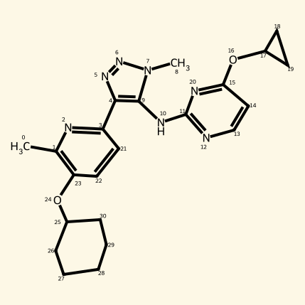 Cc1nc(-c2nnn(C)c2Nc2nccc(OC3CC3)n2)ccc1OC1CCCCC1